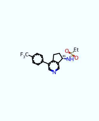 CCS(=O)(=O)N[C@@H]1CCc2c(-c3ccc(C(F)(F)F)cc3)cncc21